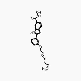 COCCOCCOc1cccc(-c2nc3ccc(C(=O)NO)cc3[nH]2)c1